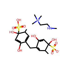 CC1C=C(CC2=CC(C)C(O)(S(=O)(=O)O)C=C2O)C(O)=CC1(O)S(=O)(=O)[O-].CNCC[N+](C)(C)C